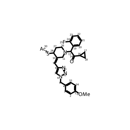 COc1ccc(Cn2cc(C=C3CN(C(C(=O)C4CC4)c4ccccc4F)CCC3SC(C)=O)nn2)cc1